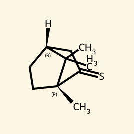 CC1(C)[C@@H]2CC[C@@]1(C)C(=S)C2